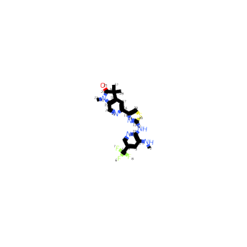 CNc1cc(C(F)(F)F)cnc1Nc1nc(-c2cc3c(cn2)N(C)C(=O)C3(C)C)cs1